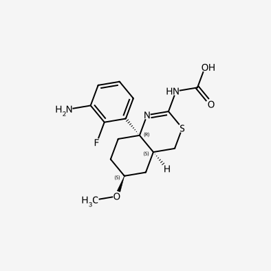 CO[C@H]1CC[C@@]2(c3cccc(N)c3F)N=C(NC(=O)O)SC[C@H]2C1